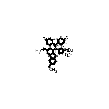 C=Cc1ccc2c(c1)-c1cc(C=C)c[c]([Zr+2]([C]3=CC(C(C)(C)C)=CC3)=[C](c3ccc(F)cc3)c3ccc(F)cc3)c1C2.[Cl-].[Cl-]